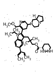 C=C/C(=C\C)c1ccc2c(c1)c(CC(C)(C)COC(=O)[C@@H]1CCCNN1)c(C1=C([C@H](C)OC)N=CC(N3CCN4CCC[C@@H]4C3)C1)n2CC